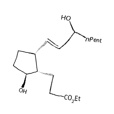 CCCCCC(O)/C=C/[C@H]1CC[C@H](O)[C@H]1CCC(=O)OCC